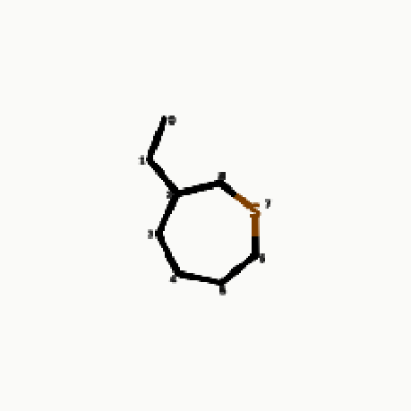 CCC1CCCCSC1